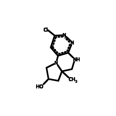 CC12CNc3nnc(Cl)cc3N1CC(O)C2